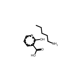 CCCCCN.O=C(O)c1cccnc1O